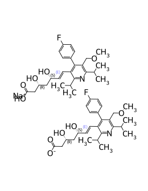 COCc1c(C(C)C)nc(C(C)C)c(/C=C/[C@@H](O)C[C@@H](O)CC(=O)O)c1-c1ccc(F)cc1.COCc1c(C(C)C)nc(C(C)C)c(/C=C/[C@@H](O)C[C@@H](O)CC(=O)[O-])c1-c1ccc(F)cc1.[Na+]